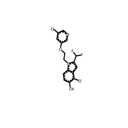 N#Cc1ccc2c(cc(C(F)F)n2CCOc2cncc(Cl)c2)c1Cl